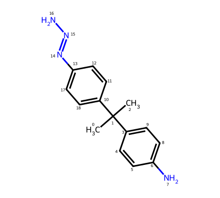 CC(C)(c1ccc(N)cc1)c1ccc(N=NN)cc1